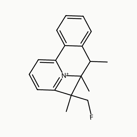 CC1c2ccccc2-c2cccc3[n+]2C1(C)C3(C)CF